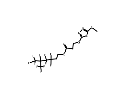 CSc1nnc(SCCC(=O)OCCC(F)(F)C(F)(F)C(F)(C(F)(F)F)C(F)(F)F)s1